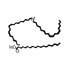 CCCCC/C=C\C/C=C\CCCCCCCCN(C)CCCCCCCC/C=C\C/C=C\CCCCC.CCCCCCCCCCCCCCCCCC(=O)O